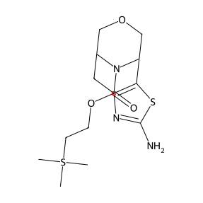 CS(C)(C)CCOC(=O)N1C2COCC1c1sc(N)nc1C2